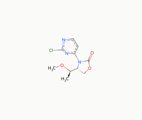 CO[C@H](C)[C@H]1COC(=O)N1c1ccnc(Cl)n1